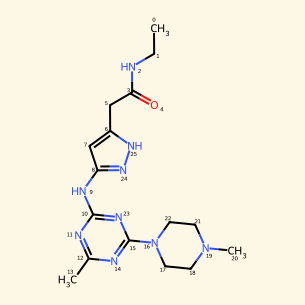 CCNC(=O)Cc1cc(Nc2nc(C)nc(N3CCN(C)CC3)n2)n[nH]1